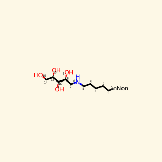 CCCCCCCCCCCCCCNC[C@H](O)[C@@H](O)[C@H](O)CO